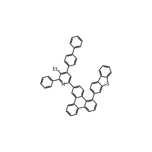 CCc1c(-c2ccc(-c3ccccc3)cc2)cc(-c2ccc3c(c2)c2ccccc2c2cccc(-c4ccc5c(c4)sc4ccccc45)c23)nc1-c1ccccc1